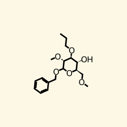 CCCO[C@H]1[C@H](O)[C@@H](COC)OC(OCc2ccccc2)[C@@H]1OC